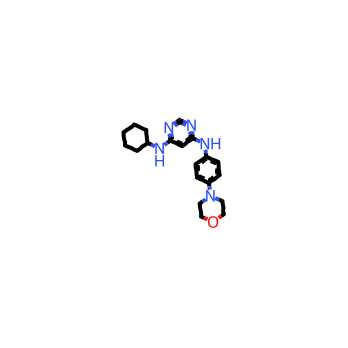 c1nc(Nc2ccc(N3CCOCC3)cc2)cc(NC2CCCCC2)n1